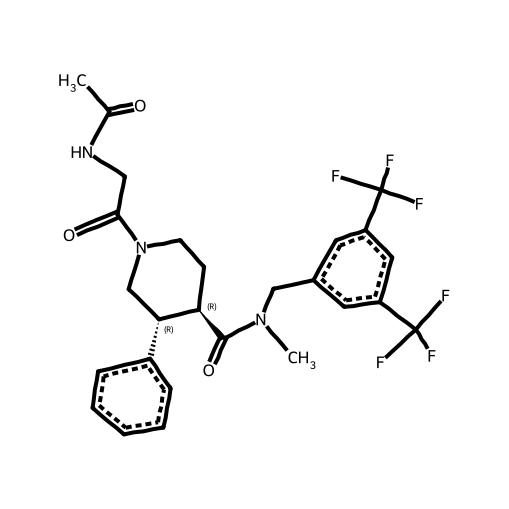 CC(=O)NCC(=O)N1CC[C@@H](C(=O)N(C)Cc2cc(C(F)(F)F)cc(C(F)(F)F)c2)[C@H](c2ccccc2)C1